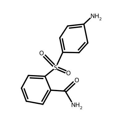 NC(=O)c1ccccc1S(=O)(=O)c1ccc(N)cc1